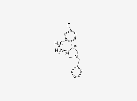 Cc1cc(F)ccc1[C@@H]1CN(Cc2ccccc2)C[C@H]1N